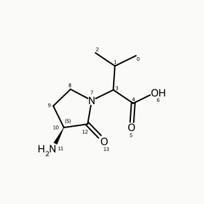 CC(C)C(C(=O)O)N1CC[C@H](N)C1=O